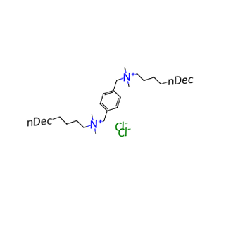 CCCCCCCCCCCCCC[N+](C)(C)Cc1ccc(C[N+](C)(C)CCCCCCCCCCCCCC)cc1.[Cl-].[Cl-]